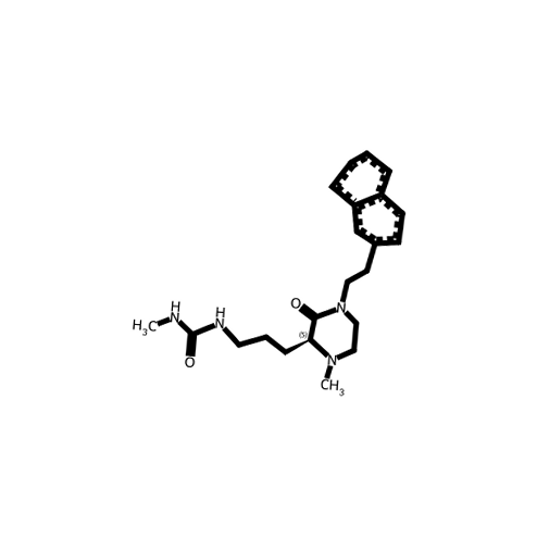 CNC(=O)NCCC[C@H]1C(=O)N(CCc2ccc3ccccc3c2)CCN1C